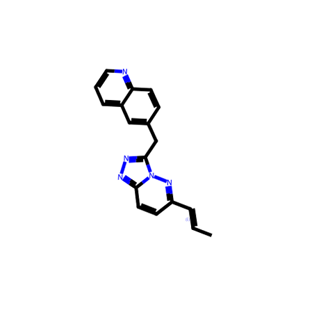 C/C=C/c1ccc2nnc(Cc3ccc4ncccc4c3)n2n1